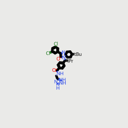 CC(C)C(c1ccc(C(=O)NCC2=NNNN2)cc1)N1C(=O)C(c2cc(Cl)cc(Cl)c2)=NC12CCC(C(C)(C)C)CC2